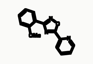 COc1ccccc1-c1noc(-c2ccccn2)n1